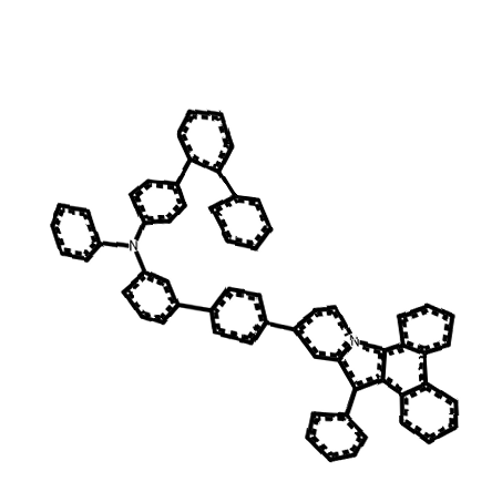 c1ccc(-c2ccccc2-c2ccc(N(c3ccccc3)c3cccc(-c4ccc(-c5ccn6c(c5)c(-c5ccccc5)c5c7ccccc7c7ccccc7c56)cc4)c3)cc2)cc1